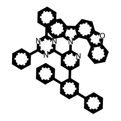 c1ccc(-c2ccc(-c3ccccc3)c(-c3cnc(-n4c5ccccc5c5ccc6oc7ccccc7c6c54)c(-c4nc(-c5ccccc5)nc(-c5ccccc5)n4)c3)c2)cc1